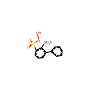 O=S(=O)(O)c1c(-c2ccccc2)cccc1S(=O)(=O)OO